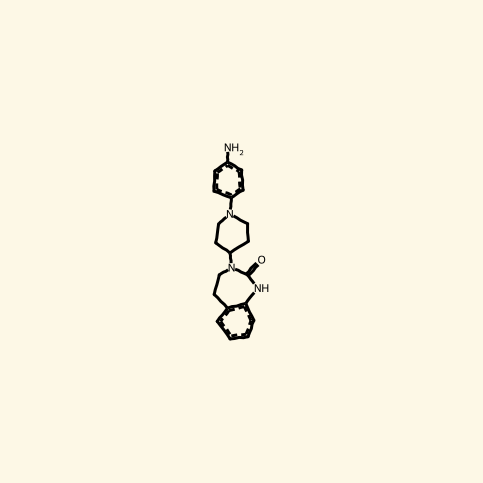 Nc1ccc(N2CCC(N3CCc4ccccc4NC3=O)CC2)cc1